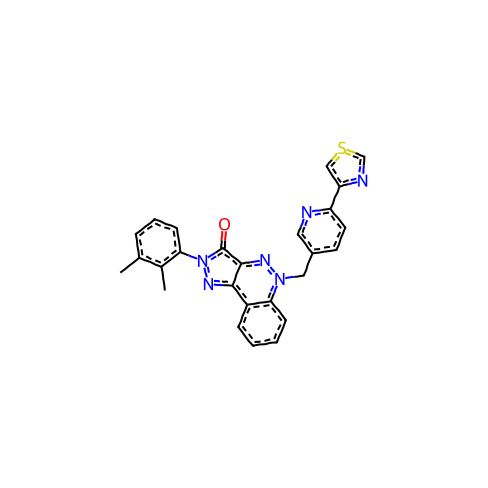 Cc1cccc(-n2nc3c4ccccc4n(Cc4ccc(-c5cscn5)nc4)nc-3c2=O)c1C